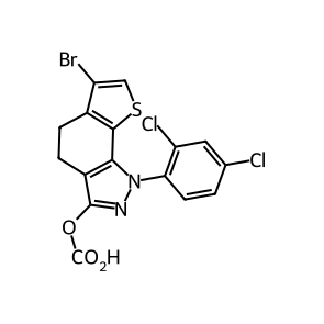 O=C(O)Oc1nn(-c2ccc(Cl)cc2Cl)c2c1CCc1c(Br)csc1-2